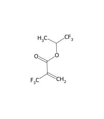 C=C(C(=O)OC(C)C(F)(F)F)C(F)(F)F